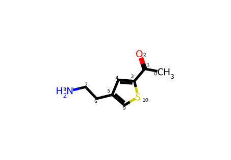 CC(=O)c1cc(CCN)cs1